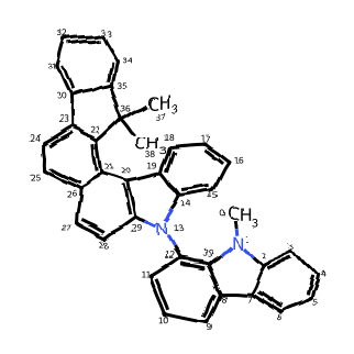 Cn1c2ccccc2c2cccc(-n3c4ccccc4c4c5c6c(ccc5ccc43)-c3ccccc3C6(C)C)c21